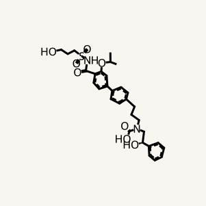 CC(C)Oc1cc(-c2ccc(CCCN(C[C@H](O)c3ccccc3)C(=O)O)cc2)ccc1C(=O)NS(=O)(=O)CCCO